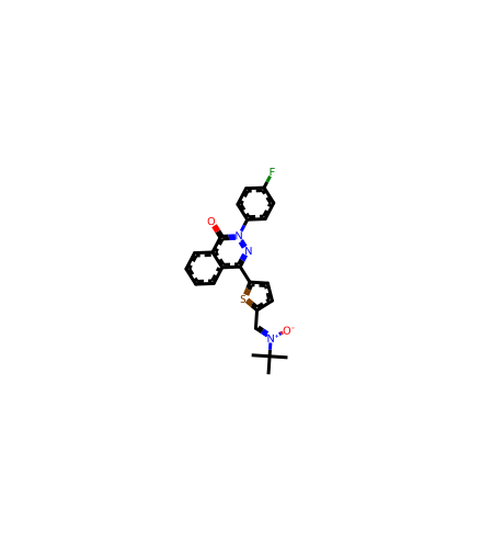 CC(C)(C)/[N+]([O-])=C/c1ccc(-c2nn(-c3ccc(F)cc3)c(=O)c3ccccc23)s1